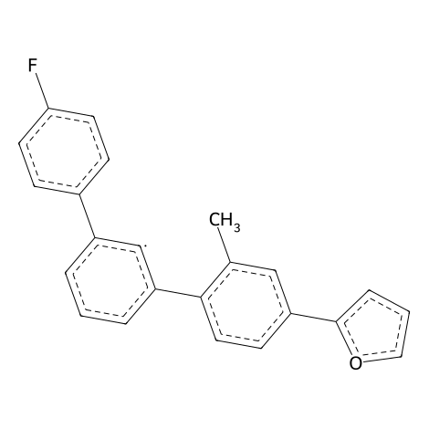 Cc1cc(-c2ccco2)ccc1-c1[c]c(-c2ccc(F)cc2)ccc1